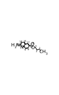 CCCCOC(=O)c1ccc2nc(N)ccc2c1